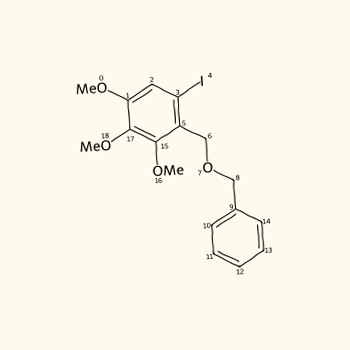 COc1cc(I)c(COCc2ccccc2)c(OC)c1OC